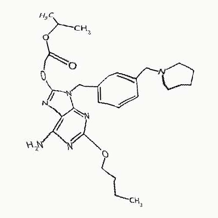 CCCCOc1nc(N)c2nc(OC(=O)OC(C)C)n(Cc3cccc(CN4CCCC4)c3)c2n1